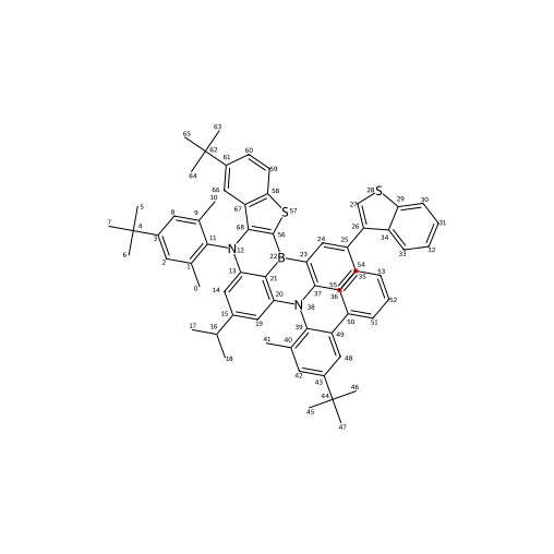 Cc1cc(C(C)(C)C)cc(C)c1N1c2cc(C(C)C)cc3c2B(c2cc(-c4csc5ccccc45)ccc2N3c2c(C)cc(C(C)(C)C)cc2-c2ccccc2)c2sc3ccc(C(C)(C)C)cc3c21